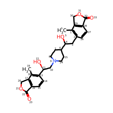 Cc1c(CC(O)C2CCN(C[C@H](O)c3ccc4c(c3C)COC4=O)CC2)ccc2c1COC2=O